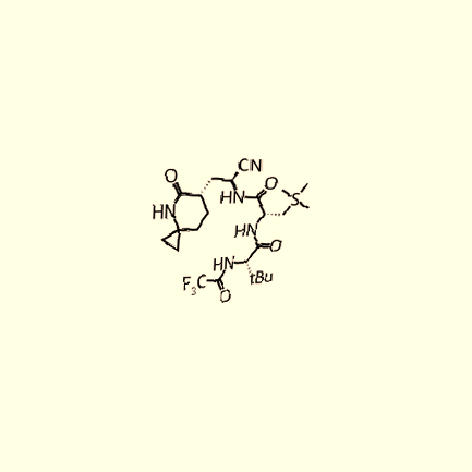 CC(C)(C)[C@H](NC(=O)C(F)(F)F)C(=O)N[C@@H](CS(C)(C)C)C(=O)N[C@H](C#N)C[C@@H]1CCC2(CC2)NC1=O